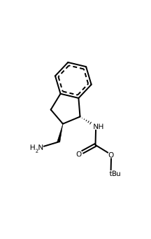 CC(C)(C)OC(=O)N[C@H]1c2ccccc2C[C@@H]1CN